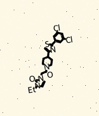 CCn1ccn(CC(=O)N2CCC(c3csc(-c4cc(Cl)cc(Cl)c4)n3)CC2)c1=O